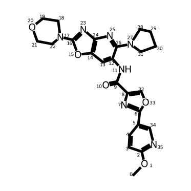 COc1ccc(-c2nc(C(=O)Nc3cc4oc(N5CCOCC5)nc4nc3N3CCCC3)co2)cn1